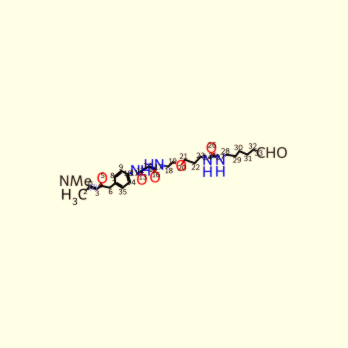 CN/C(C)=C\C(=O)Cc1ccc(NC(=O)CC(=O)NCCOCCCNC(=O)NCCCCCC=O)cc1